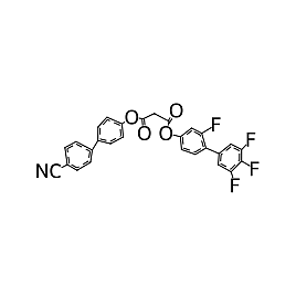 N#Cc1ccc(-c2ccc(OC(=O)CC(=O)Oc3ccc(-c4cc(F)c(F)c(F)c4)c(F)c3)cc2)cc1